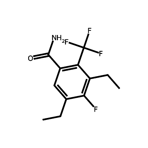 CCc1cc(C(N)=O)c(C(F)(F)F)c(CC)c1F